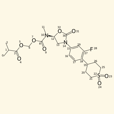 CC(C)C(=O)OCOC(=O)N(C)[C@@H]1CN(c2ccc(C3CCS(=O)(=O)CC3)c(F)c2)C(=O)O1